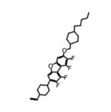 C=CC1CCC(c2cc3oc4cc(OCC5CCC(CCCCC)CC5)c(F)c(F)c4c3c(F)c2F)CC1